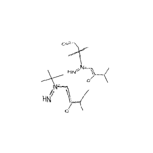 CC(C)C([O-])=C[N+](=N)C(C)(C)C.CC(C)C([O-])=C[N+](=N)C(C)(C)C.[Co+2]